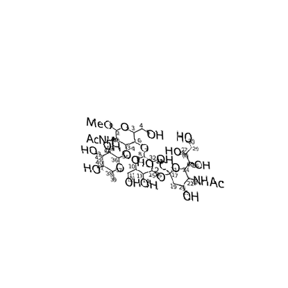 COC1OC(CO)C(OC2OC(CO)C(O)C(OC3(C(=O)O)CC(O)C(NC(C)=O)C([C@H](O)[C@H](O)CO)O3)C2O)C(OC2OC(C)C(O)C(O)C2O)C1NC(C)=O